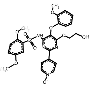 COc1ccc(OC)c(S(=O)(=O)Nc2nc(-c3cc[n+]([O-])cc3)nc(OCCO)c2Oc2ccccc2OC)c1